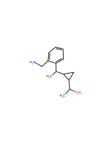 CC(O)C1CC1C(C)c1ccccc1CN